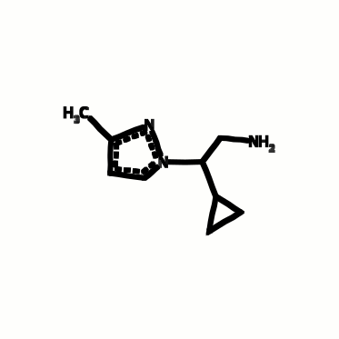 Cc1ccn(C(CN)C2CC2)n1